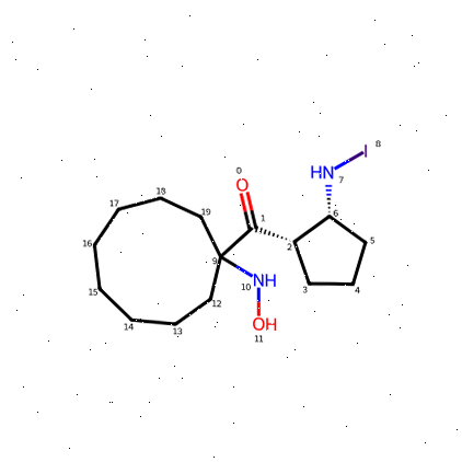 O=C([C@H]1CCC[C@H]1NI)C1(NO)CCCCCCCC1